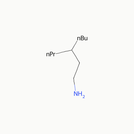 CCCCC(CCC)CCN